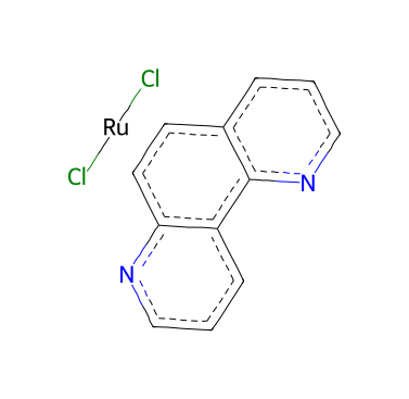 [Cl][Ru][Cl].c1cnc2c(c1)ccc1ncccc12